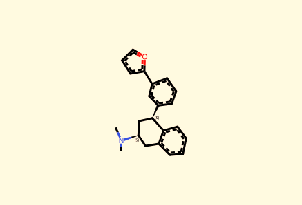 CN(C)[C@@H]1Cc2ccccc2[C@H](c2cccc(-c3ccco3)c2)C1